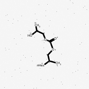 CCCCCCC(C)COC(=O)OCC(C)O